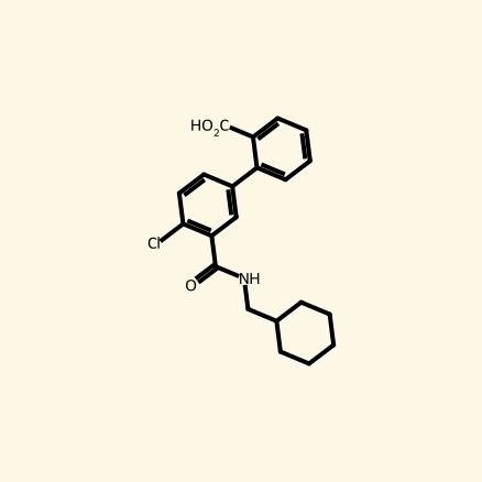 O=C(NCC1CCCCC1)c1cc(-c2ccccc2C(=O)O)ccc1Cl